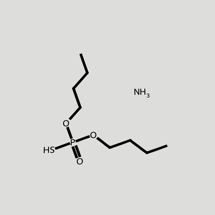 CCCCOP(=O)(S)OCCCC.N